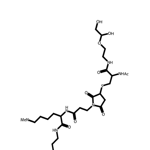 CNCCCCC(NC(=O)CCN1C(=O)CC(SCC(NC(C)=O)C(=O)NCCOC(O)CO)C1=O)C(=O)NCCO